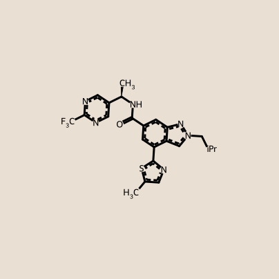 Cc1cnc(-c2cc(C(=O)N[C@H](C)c3cnc(C(F)(F)F)nc3)cc3nn(CC(C)C)cc23)s1